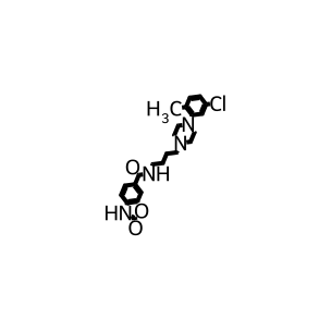 Cc1ccc(Cl)cc1N1CCN(CCCCNC(=O)c2ccc3[nH]c(=O)oc3c2)CC1